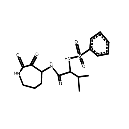 CC(C)C(NS(=O)(=O)c1ccccc1)C(=O)NC1CCCNC(=O)C1=O